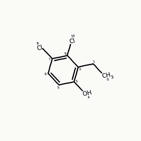 CCc1c(O)ccc(Cl)c1Cl